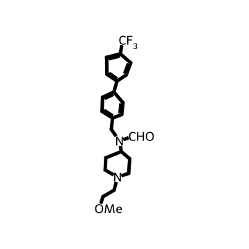 COCCN1CCC(N(C=O)Cc2ccc(-c3ccc(C(F)(F)F)cc3)cc2)CC1